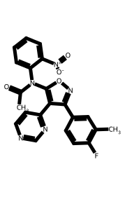 CC(=O)N(c1ccccc1[N+](=O)[O-])c1onc(-c2ccc(F)c(C)c2)c1-c1ccncn1